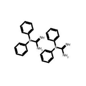 N=C(N)N(c1ccccc1)c1ccccc1.N=C(N)N(c1ccccc1)c1ccccc1